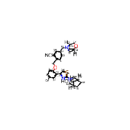 Cc1ccc(OCc2ccc(CN3C[C@@H]4C[C@H]3CO4)cc2C#N)c(-c2csc(N3C[C@H]4CC[C@@H](C3)[C@H]4C(=O)O)n2)c1